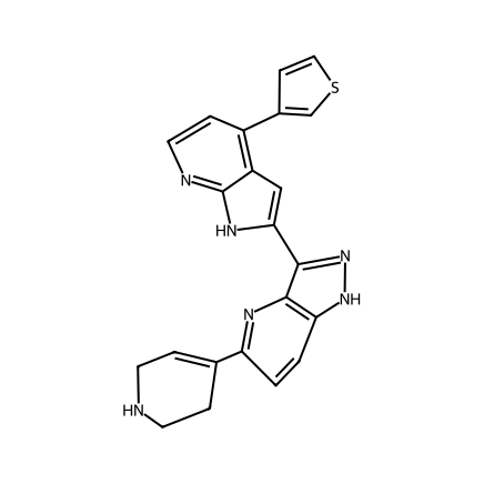 C1=C(c2ccc3[nH]nc(-c4cc5c(-c6ccsc6)ccnc5[nH]4)c3n2)CCNC1